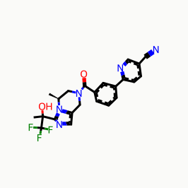 C[C@H]1CN(C(=O)c2cccc(-c3ccc(C#N)cn3)c2)Cc2cnc(C(C)(O)C(F)(F)F)n21